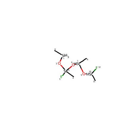 C[SiH2]O[Si](C)(F)O[SiH](C)O[SiH](C)F